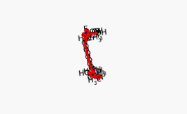 Cc1ncsc1-c1ccc(CNC(=O)[C@@H]2C[C@@H](O)CN2C(=O)[C@@H](NC(=O)COCCOCCOCCOCCOCCOCCOCCOc2ccc(NC(=O)c3c(-c4ccccc4)c(-c4ccc(F)cc4)n(CC[C@@H](O)C[C@@H](O)CC(=O)O)c3C(C)C)cc2)C(C)(C)C)cc1